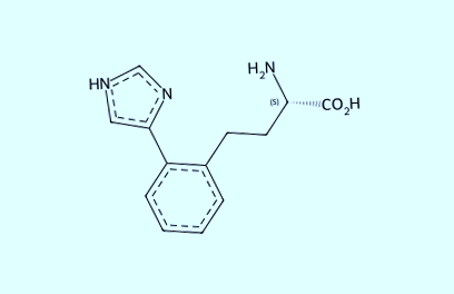 N[C@@H](CCc1ccccc1-c1c[nH]cn1)C(=O)O